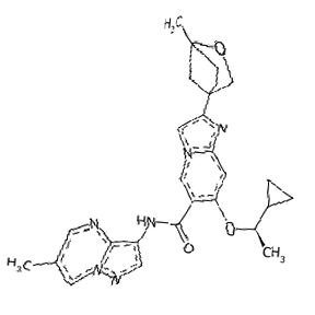 Cc1cnc2c(NC(=O)c3cn4cc(C56COC(C)(C5)C6)nc4cc3O[C@H](C)C3CC3)cnn2c1